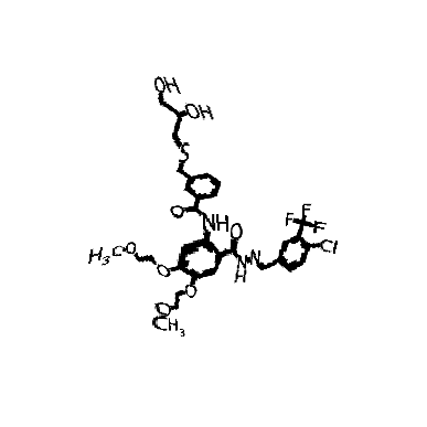 COCCOc1cc(NC(=O)c2cccc(CSCC(O)CO)c2)c(C(=O)NN=Cc2ccc(Cl)c(C(F)(F)F)c2)cc1OCCOC